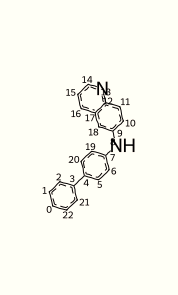 c1ccc(-c2ccc(Nc3ccc4ncccc4c3)cc2)cc1